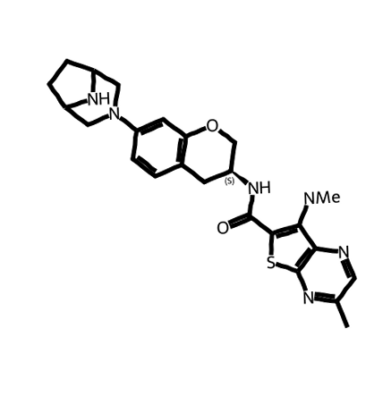 CNc1c(C(=O)N[C@@H]2COc3cc(N4CC5CCC(C4)N5)ccc3C2)sc2nc(C)cnc12